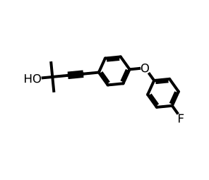 CC(C)(O)C#Cc1ccc(Oc2ccc(F)cc2)cc1